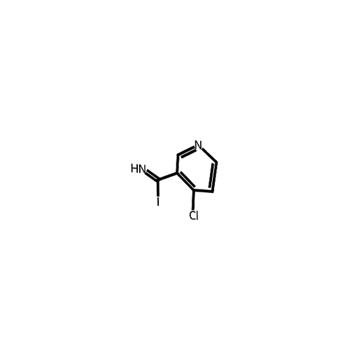 N=C(I)c1cnccc1Cl